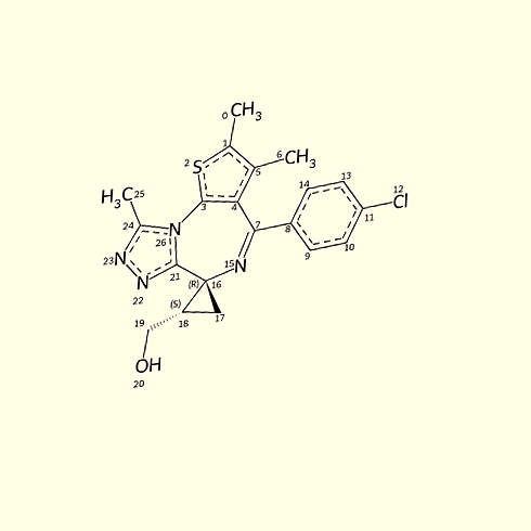 Cc1sc2c(c1C)C(c1ccc(Cl)cc1)=N[C@@]1(C[C@@H]1CO)c1nnc(C)n1-2